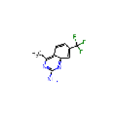 Cc1nc(N)nc2cc(C(F)(F)F)ccc12